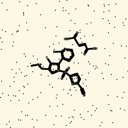 CNCc1cn(S(=O)(=O)c2ccc(C#N)o2)c(-c2cccnc2F)c1F.O=C(O)C=CC(=O)O